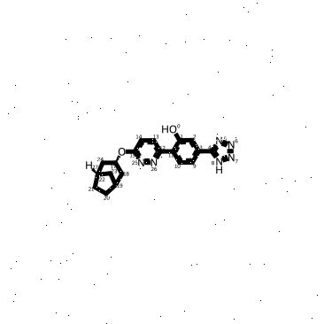 Oc1cc(-c2nnn[nH]2)ccc1-c1ccc(O[C@H]2CC3CC[C@@H](C3)C2)nn1